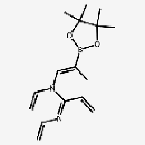 C=C/N=C(/C=C)N(C=C)/C=C(\C)B1OC(C)(C)C(C)(C)O1